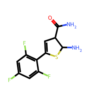 NC(=O)C1C=C(c2c(F)cc(F)cc2F)SC1N